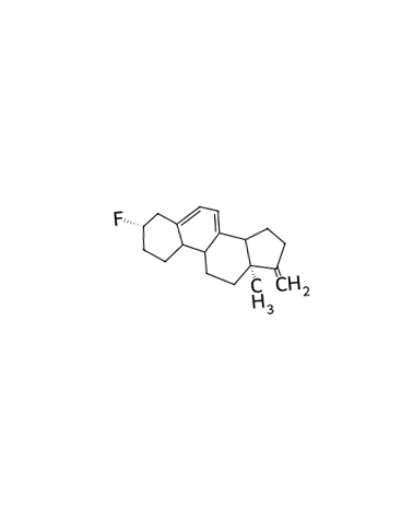 C=C1CCC2C3=CC=C4C[C@@H](F)CCC4C3CC[C@]12C